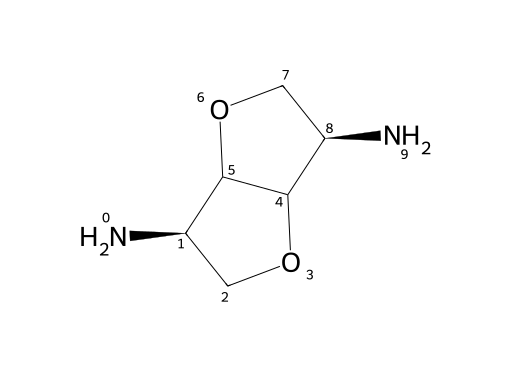 N[C@@H]1COC2C1OC[C@H]2N